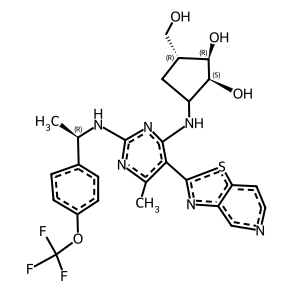 Cc1nc(N[C@H](C)c2ccc(OC(F)(F)F)cc2)nc(NC2C[C@H](CO)[C@@H](O)[C@H]2O)c1-c1nc2cnccc2s1